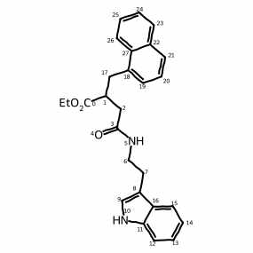 CCOC(=O)C(CC(=O)NCCc1c[nH]c2ccccc12)Cc1cccc2ccccc12